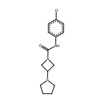 O=C(Nc1ccc(Cl)cc1)N1CC(N2CCCC2)C1